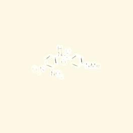 CNc1ccc(S(=O)(=O)Nc2ccc([N+](=O)[O-])c([N+](=O)[O-])c2)cc1